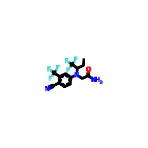 CCC(N(CC(N)=O)c1ccc(C#N)c(C(F)(F)F)c1)C(F)(F)F